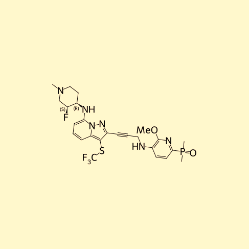 COc1nc(P(C)(C)=O)ccc1NCC#Cc1nn2c(N[C@@H]3CCN(C)C[C@@H]3F)cccc2c1SC(F)(F)F